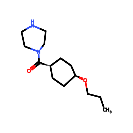 CCCO[C@H]1CC[C@H](C(=O)N2CCNCC2)CC1